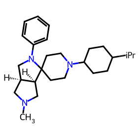 CC(C)C1CCC(N2CCC3(CC2)[C@H]2CN(C)C[C@H]2CN3c2ccccc2)CC1